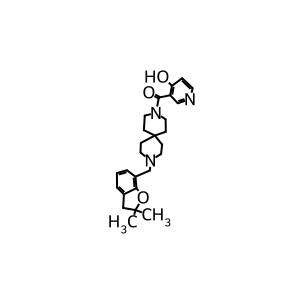 CC1(C)Cc2cccc(CN3CCC4(CC3)CCN(C(=O)c3cnccc3O)CC4)c2O1